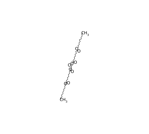 CCCCCCCCCCCOC(=O)CCCCCCCC(=O)OCC(=O)COC(=O)CCCCCCCC(=O)OCCCCCCCCCCC